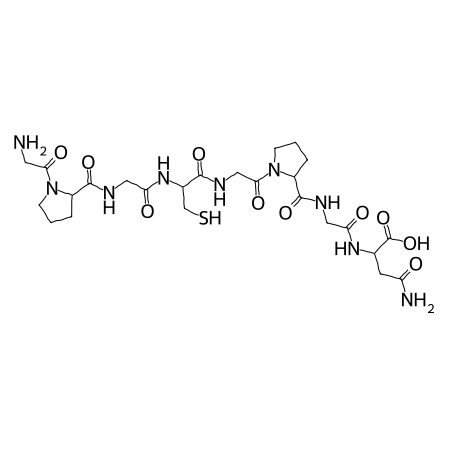 NCC(=O)N1CCCC1C(=O)NCC(=O)NC(CS)C(=O)NCC(=O)N1CCCC1C(=O)NCC(=O)NC(CC(N)=O)C(=O)O